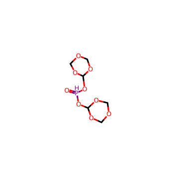 O=[PH](OC1OCOCO1)OC1OCOCO1